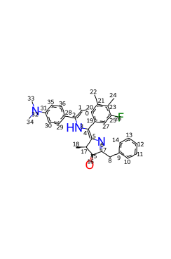 C/C=C(\N/C(=C1/N=C(Cc2ccccc2)C(=O)[C@H]1C)c1cc(C)c(C)c(F)c1)c1ccc(N(C)C)cc1